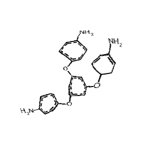 NC1=CCC(Oc2cc(Oc3ccc(N)cc3)cc(Oc3ccc(N)cc3)c2)C=C1